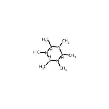 CN1[SH](C)N(C)[SH](C)N(C)[SH]1C